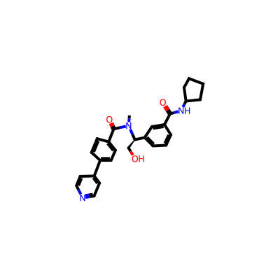 CN(C(=O)c1ccc(-c2ccncc2)cc1)[C@H](CO)c1cccc(C(=O)NC2CCCC2)c1